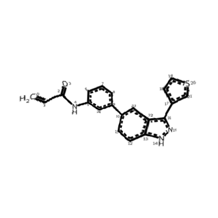 C=CC(=O)Nc1cccc(-c2ccc3[nH]nc(-c4ccsc4)c3c2)c1